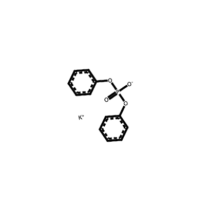 O=P([O-])(Oc1ccccc1)Oc1ccccc1.[K+]